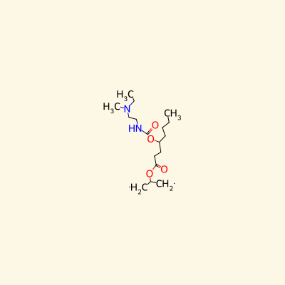 [CH2]C([CH2])OC(=O)CCC(CCCC)OC(=O)NCCN(C)CC